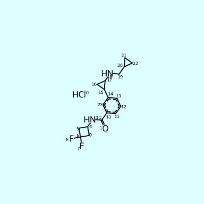 Cl.O=C(NC1CC(F)(F)C1)c1cccc(C2CC2NCC2CC2)c1